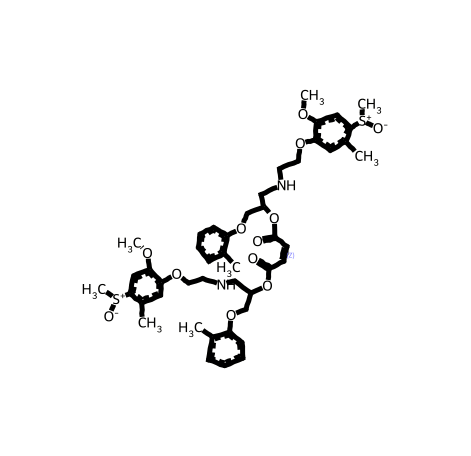 COc1cc([S+](C)[O-])c(C)cc1OCCNCC(COc1ccccc1C)OC(=O)/C=C\C(=O)OC(CNCCOc1cc(C)c([S+](C)[O-])cc1OC)COc1ccccc1C